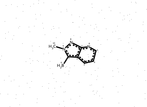 Bc1c2cccnc2nn1C